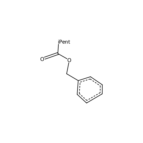 CCCC(C)C(=O)OCc1ccccc1